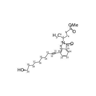 COC(=O)CCC(C)N1Cc2c(C#CCCCCCCCCO)cccc2C1=O